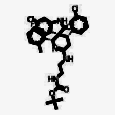 Cc1ccc(F)cc1[C@H]1N=C(NCCNC(=O)OC(C)(C)C)C[C@@H](c2cccc(Cl)c2)[C@]12C(=O)Nc1cc(Cl)ccc12